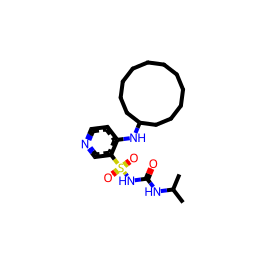 CC(C)NC(=O)NS(=O)(=O)c1cnccc1NC1CCCCCCCCCCC1